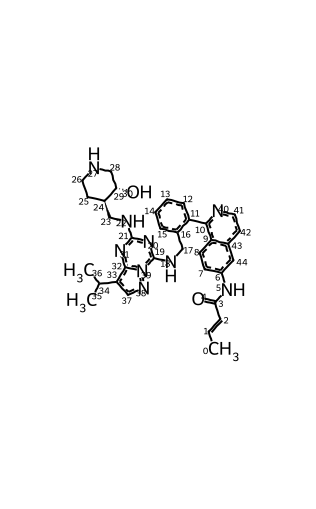 C/C=C/C(=O)Nc1ccc2c(-c3ccccc3CNc3nc(NC[C@H]4CCNC[C@@H]4O)nc4c(C(C)C)cnn34)nccc2c1